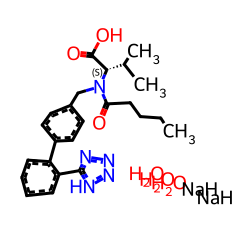 CCCCC(=O)N(Cc1ccc(-c2ccccc2-c2nnn[nH]2)cc1)[C@H](C(=O)O)C(C)C.O.O.O.[NaH].[NaH]